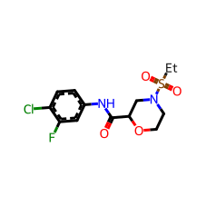 CCS(=O)(=O)N1CCOC(C(=O)Nc2ccc(Cl)c(F)c2)C1